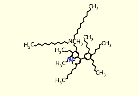 CCCCCCC(=C=[N+]=[N-])C=C(c1cc(CCC)c(CCC)c(CCC)c1)c1cc(CCCCC)c(CCCCC)c(CCCCC)c1.CCCCCCCCCCC[CH2][Ni][CH2]CCCCCCCCCCC